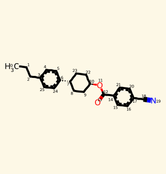 CCCc1ccc([C@H]2CC[C@H](OC(=O)c3ccc(C#N)cc3)CC2)cc1